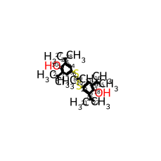 CC(C)c1cc(SC(C)(C)Sc2cc(C(C)C)c(O)c(C(C)C)c2)cc(C(C)C)c1O